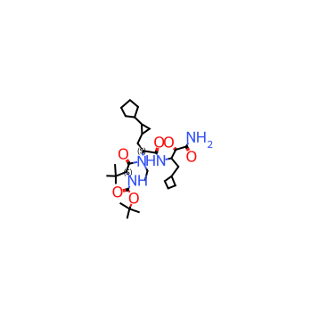 CCN(C(=O)[C@@H](NC(=O)OC(C)(C)C)C(C)(C)C)[C@@H](CC1CC1C1CCCC1)C(=O)NC(CC1CCC1)C(=O)C(N)=O